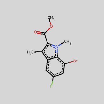 COC(=O)c1c(C)c2cc(F)cc(Br)c2n1C